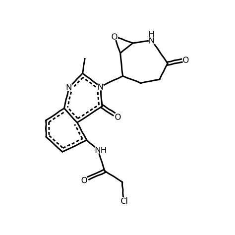 Cc1nc2cccc(NC(=O)CCl)c2c(=O)n1C1CCC(=O)NC2OC21